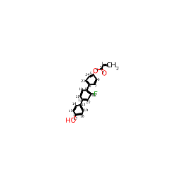 C=CC(=O)Oc1ccc(-c2ccc(-c3ccc(O)cc3)cc2F)cc1